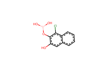 OB(O)Oc1c(O)cc2ccccc2c1Cl